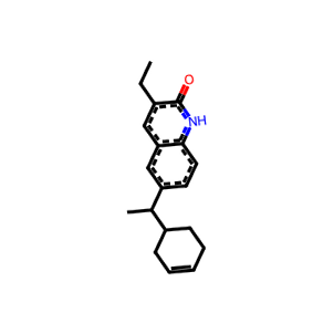 CCc1cc2cc(C(C)C3CC=CCC3)ccc2[nH]c1=O